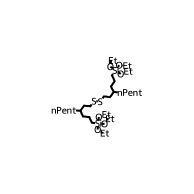 CCCCCC(CCC[Si](OCC)(OCC)OCC)CCSSCCC(CCCCC)CCC[Si](OCC)(OCC)OCC